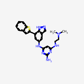 CN(C)CCNc1cc(Nc2cc(-c3cc4ccccc4s3)c3[nH]ncc3c2)nc(N)n1